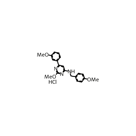 COc1ccc(CNc2cc(-c3cccc(OC)c3)nc(OC)n2)cc1.Cl